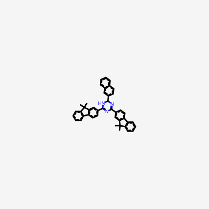 CC1(C)c2ccccc2-c2ccc(C3=NC(c4ccc5ccccc5c4)NC(c4ccc5c(c4)C(C)(C)c4ccccc4-5)=N3)cc21